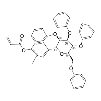 C=CC(=O)Oc1ccc([C@H]2O[C@H](COc3ccccc3)[C@@H](Oc3ccccc3)[C@H](Oc3ccccc3)[C@@H]2Oc2ccccc2)cc1C